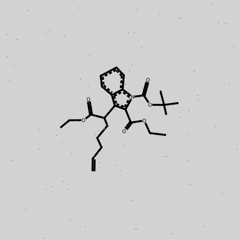 C=CCCCC(C(=O)OCC)c1c(C(=O)OCC)n(C(=O)OC(C)(C)C)c2ccccc12